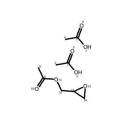 CC(=O)O.CC(=O)O.CC(=O)OCC1CO1